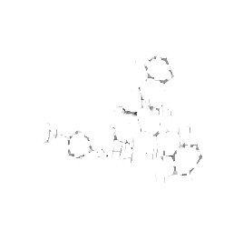 CC(C)c1cccc(C(C)C)c1NC(=O)C(NC(=S)Nc1ccc(N(C)C)cc1)C(=O)N(Cc1ccccc1)C(C)C